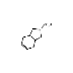 O=C(O)N1CC2CC=CCC2C1